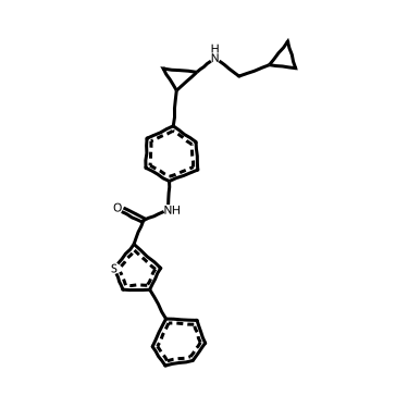 O=C(Nc1ccc(C2CC2NCC2CC2)cc1)c1cc(-c2ccccc2)cs1